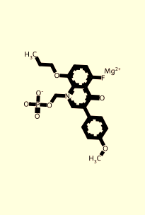 CCCOc1ccc(F)c2c(=O)c(-c3ccc(OC)cc3)cn(COP(=O)([O-])[O-])c12.[Mg+2]